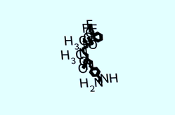 CN(CCN(C)S(=O)(=O)c1ccccc1OC(F)(F)F)CC1CN(c2ccc(C(=N)N)cc2)C(=O)O1